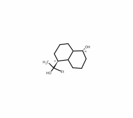 CCC(C)(O)[C@H]1CCCC2C1CCC[C@H]2O